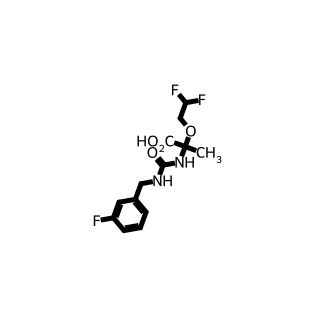 CC(NC(=O)NCc1cccc(F)c1)(OCC(F)F)C(=O)O